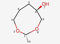 C[C@@H]1OCCC[C@@H](O)CO1